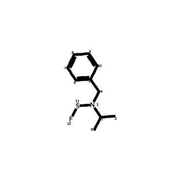 CC(C)N(Cc1ccccc1)SF